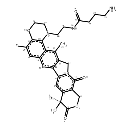 CC[C@@]1(O)C(=O)OCc2c1cc1n(c2=O)Cc2c-1nc1cc(F)c3c(c1c2C)N(CCNC(=O)CCCN)CCO3